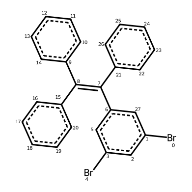 Brc1cc(Br)cc(C(=C(c2ccccc2)c2ccccc2)c2ccccc2)c1